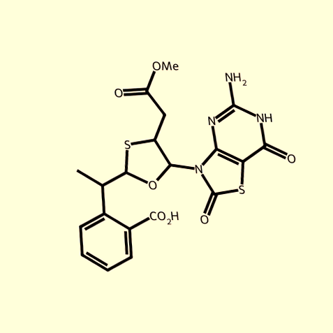 COC(=O)CC1SC(C(C)c2ccccc2C(=O)O)OC1n1c(=O)sc2c(=O)[nH]c(N)nc21